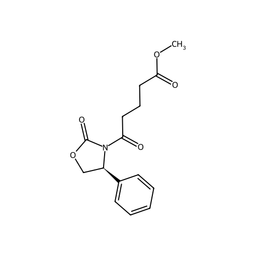 COC(=O)CCCC(=O)N1C(=O)OC[C@@H]1c1ccccc1